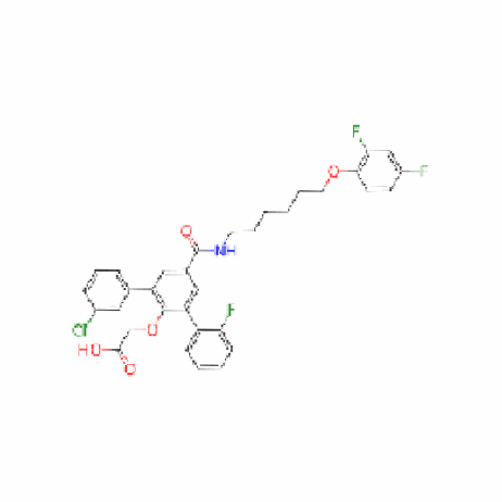 O=C(O)COc1c(-c2cccc(Cl)c2)cc(C(=O)NCCCCCCOc2ccc(F)cc2F)cc1-c1ccccc1F